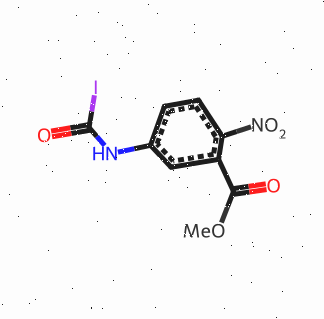 COC(=O)c1cc(NC(=O)I)ccc1[N+](=O)[O-]